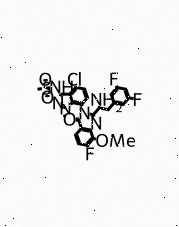 COc1c(F)ccc2c(=O)n(-c3ccc(Cl)c4c(NS(C)(=O)=O)nn(C)c34)c([C@@H](N)Cc3cc(F)cc(F)c3)nc12